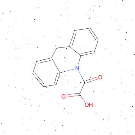 O=C(O)C(=O)N1c2ccccc2Cc2ccccc21